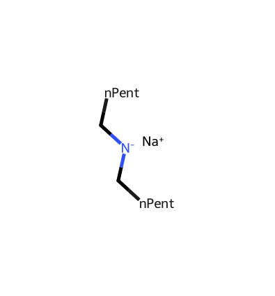 CCCCCC[N-]CCCCCC.[Na+]